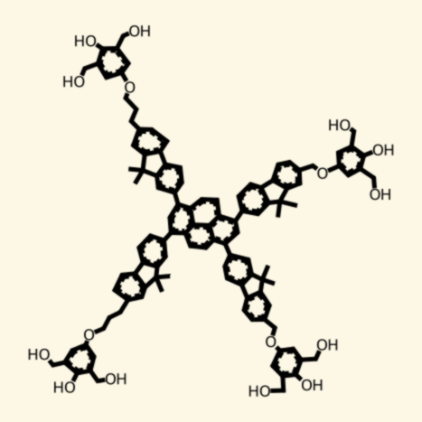 CC1(C)c2cc(CCCOc3cc(CO)c(O)c(CO)c3)ccc2-c2ccc(-c3cc(-c4ccc5c(c4)C(C)(C)c4cc(CCCOc6cc(CO)c(O)c(CO)c6)ccc4-5)c4ccc5c(-c6ccc7c(c6)C(C)(C)c6cc(COc8cc(CO)c(O)c(CO)c8)ccc6-7)cc(-c6ccc7c(c6)C(C)(C)c6cc(COc8cc(CO)c(O)c(CO)c8)ccc6-7)c6ccc3c4c65)cc21